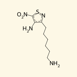 NCCCCCCc1nsc([N+](=O)[O-])c1N